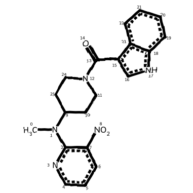 CN(c1ncccc1[N+](=O)[O-])C1CCN(C(=O)c2c[nH]c3ccccc23)CC1